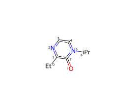 CCc1nccn(C(C)C)c1=O